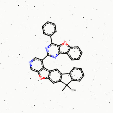 CC(C)(C)C1(C)c2ccccc2-c2cc3c(cc21)oc1cncc(-c2nc(-c4ccccc4)c4oc5ccccc5c4n2)c13